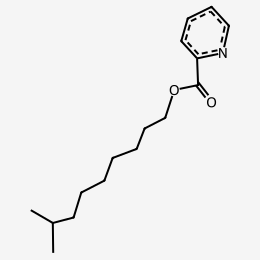 CC(C)CCCCCCCOC(=O)c1ccccn1